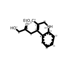 CCOC(=O)C1=C(CC(=O)CO)c2ccccc2NC1